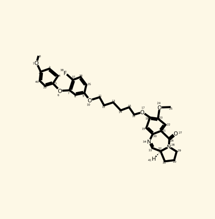 COc1ccc(Oc2cc(OCCCCCCOc3cc4c(cc3OC)C(=O)N3CCC[C@H]3C=N4)ccc2F)cc1